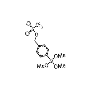 CO[Si](OC)(OC)c1ccc(COS(=O)(=O)C(F)(F)F)cc1